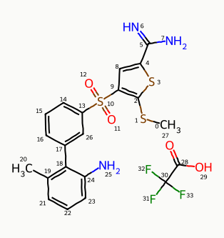 CSc1sc(C(=N)N)cc1S(=O)(=O)c1cccc(-c2c(C)cccc2N)c1.O=C(O)C(F)(F)F